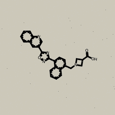 O=C(O)C1CN(Cc2ccc(-c3noc(-c4cnc5ccccc5c4)n3)c3ccccc23)C1